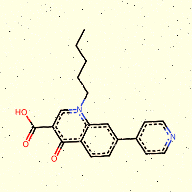 CCCCCn1cc(C(=O)O)c(=O)c2ccc(-c3ccncc3)cc21